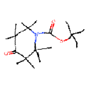 CC(C)(C)OC(=O)N1C(C)(C)C(C)(C)C(=O)C(C)(C)C1(C)C